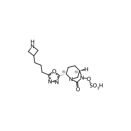 O=C1N2C[C@H](CC[C@H]2c2nnc(CCCC3CNC3)o2)N1OS(=O)(=O)O